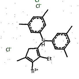 CCC1=C([SiH](c2cc(C)cc(C)c2)c2cc(C)cc(C)c2)CC(C)=[C]1[Ti+3].[Cl-].[Cl-].[Cl-]